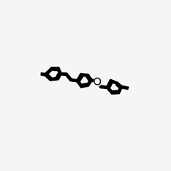 Cc1ccc(CCc2ccc(OCc3ccc(C)cc3)cc2)cc1